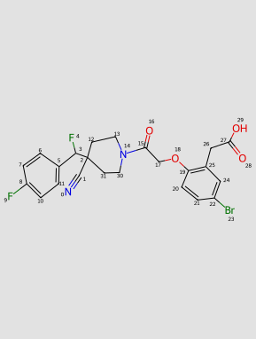 N#CC1(C(F)c2ccc(F)cc2)CCN(C(=O)COc2ccc(Br)cc2CC(=O)O)CC1